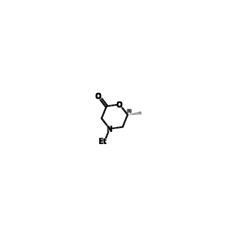 CCN1CC(=O)O[C@H](C)C1